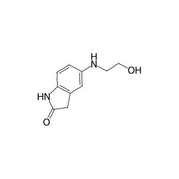 O=C1Cc2cc(NCCO)ccc2N1